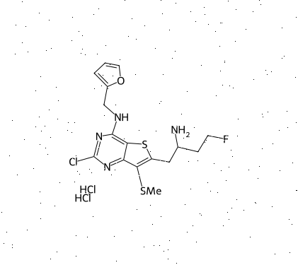 CSc1c(CC(N)CCF)sc2c(NCc3ccco3)nc(Cl)nc12.Cl.Cl